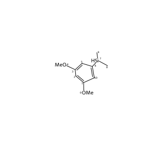 COc1cc(OC)cc([SiH](C)C)c1